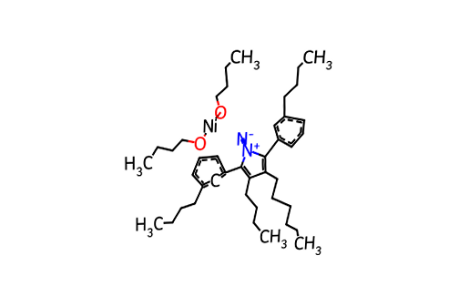 CCCCCCC1=C(c2cccc(CCCC)c2)[N+](=[N-])C(c2cccc(CCCC)c2)=C1CCCC.CCCC[O][Ni][O]CCCC